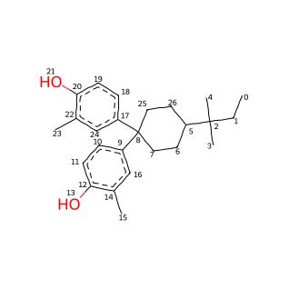 CCC(C)(C)C1CCC(c2ccc(O)c(C)c2)(c2ccc(O)c(C)c2)CC1